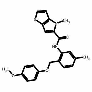 COc1ccc(OCc2ccc(C)cc2NC(=O)c2cc3sccc3n2C)cc1